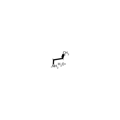 C=CCN.O